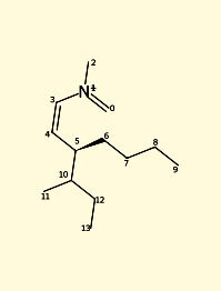 C=[N+](C)/C=C\[C@@H](CCCC)C(C)CC